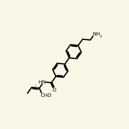 C/C=C(\C=O)NC(=O)c1ccc(-c2ccc(CCN)cc2)cc1